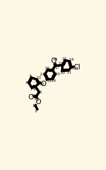 CCOC(=O)Cc1ccccc1Oc1ccc(C(=O)c2ccc(Cl)cc2)cc1